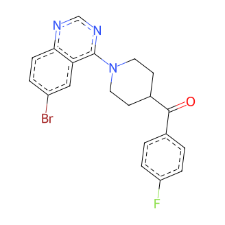 O=C(c1ccc(F)cc1)C1CCN(c2ncnc3ccc(Br)cc23)CC1